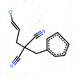 N#CC(C#N)(CC=CCl)Cc1ccccc1